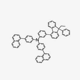 CCC1(c2ccccc2)c2ccccc2-c2c(-c3cccc(N(c4ccc(-c5cccc6ccccc56)cc4)c4ccc(-c5cccc6ccccc56)cc4)c3)cccc21